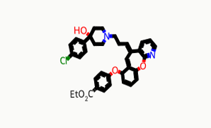 CCOC(=O)c1ccc(OC2C=CC=C3Oc4ncccc4C(=CCCN4CCC(O)(c5ccc(Cl)cc5)CC4)C=C32)cc1